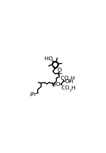 Cc1c(C)c2c(c(C)c1O)CC[C@@](C)(CCCC(C)CCCC(C)CCCC(C)C)O2.O=C(O)C(O)C(O)C(=O)O